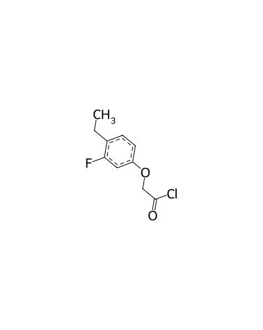 CCc1ccc(OCC(=O)Cl)cc1F